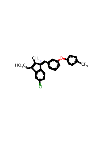 CC1=C(CC(=O)O)c2cc(Cl)ccc2/C1=C\c1cccc(Oc2ccc(C(F)(F)F)cc2)c1